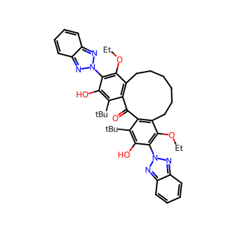 CCOc1c2c(c(C(C)(C)C)c(O)c1-n1nc3ccccc3n1)C(=O)c1c(c(OCC)c(-n3nc4ccccc4n3)c(O)c1C(C)(C)C)CCCCCC2